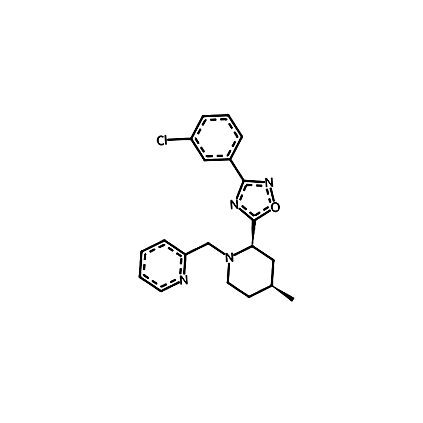 C[C@H]1CCN(Cc2ccccn2)[C@@H](c2nc(-c3cccc(Cl)c3)no2)C1